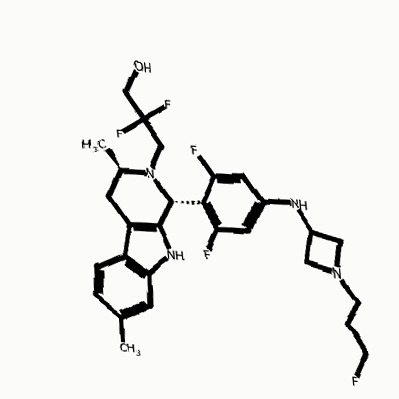 Cc1ccc2c3c([nH]c2c1)[C@@H](c1c(F)cc(NC2CN(CCCF)C2)cc1F)N(CC(F)(F)CO)[C@H](C)C3